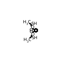 CCC(S)COC(=O)c1ccccc1C(=O)OCC(S)CC